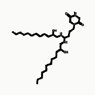 CCCCCCCCCCC(O)CNC(CCCN1CC(=O)NCC1=O)NCC(O)CCCCCCCCCC